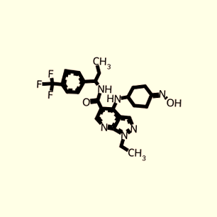 CCC(NC(=O)c1cnc2c(cnn2CC)c1NC1CCC(=NO)CC1)c1ccc(C(F)(F)F)cc1